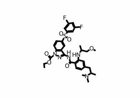 CCOC(=O)n1nc(NC(=O)c2ccc(CC(C)N(C)C)cc2NC(C)COC)c2cc(S(=O)(=O)c3cc(F)cc(F)c3)ccc21